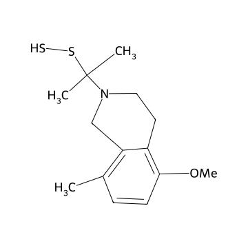 COc1ccc(C)c2c1CCN(C(C)(C)SS)C2